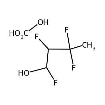 CC(F)(F)C(F)C(O)F.O=C(O)O